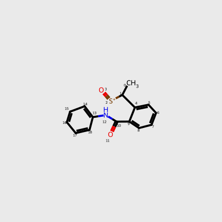 CC([S+]=O)c1ccccc1C(=O)Nc1ccccc1